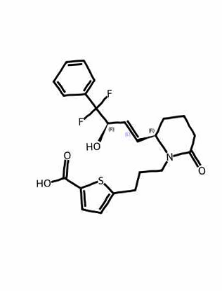 O=C(O)c1ccc(CCCN2C(=O)CCC[C@@H]2/C=C/[C@@H](O)C(F)(F)c2ccccc2)s1